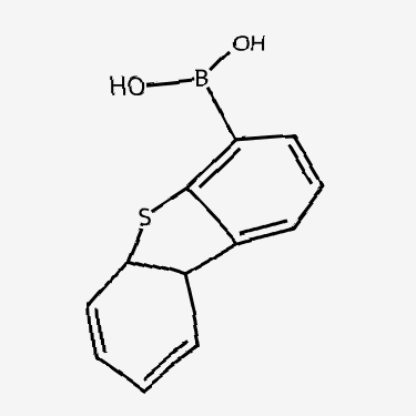 OB(O)c1cccc2c1SC1C=CC=CC21